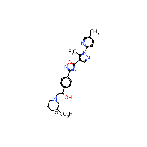 Cc1ccc(-n2ncc(-c3nc(-c4ccc(C(O)CN5CCC[C@H](C(=O)O)C5)cc4)no3)c2C(F)(F)F)nc1